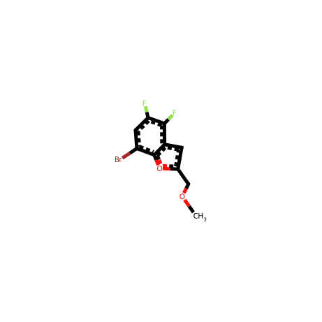 COCc1cc2c(F)c(F)cc(Br)c2o1